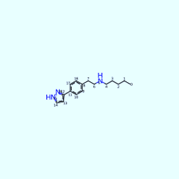 CCCCCNCCc1ccc(-c2cc[nH]n2)cc1